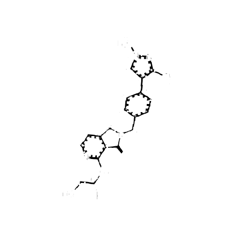 CC[C@H](CO)Oc1nccc2c1C(=O)N(Cc1ccc(-c3cn(C)nc3C)cc1)C2